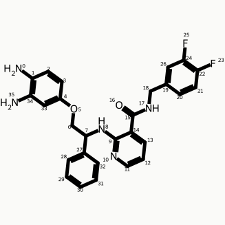 Nc1ccc(OCC(Nc2ncccc2C(=O)NCc2ccc(F)c(F)c2)c2ccccc2)cc1N